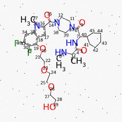 CNC(C)C(=O)NC(C(=O)N1CCN(C(=O)c2cc3c(OCCOCCOCCO)c(F)c(F)cc3n2C)CC1)C1CCCCC1